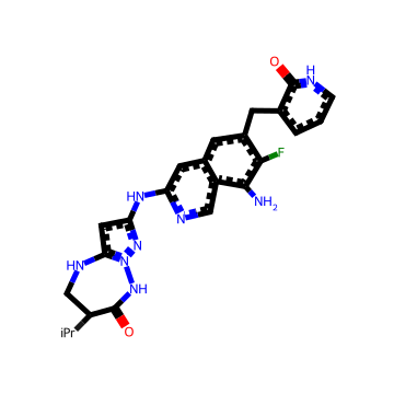 CC(C)C1CNc2cc(Nc3cc4cc(Cc5ccc[nH]c5=O)c(F)c(N)c4cn3)nn2NC1=O